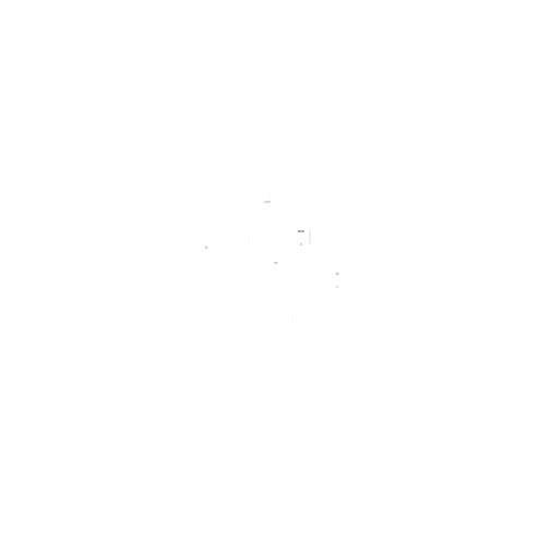 CCCCCC(=O)C(Cl)(C(=O)Cl)C1CCCC1